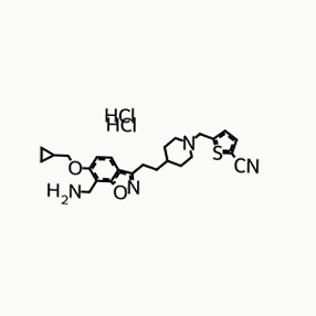 Cl.Cl.N#Cc1ccc(CN2CCC(CCc3noc4c(CN)c(OCC5CC5)ccc34)CC2)s1